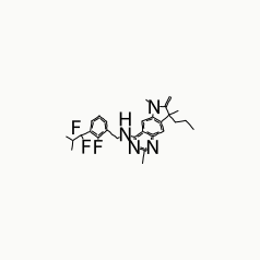 C=C1N(C)c2cc3c(NCc4cccc(C(F)(F)C(C)C)c4F)nc(C)nc3cc2C1(C)CCC